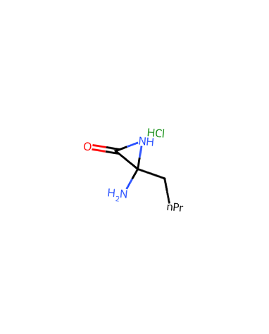 CCCCC1(N)NC1=O.Cl